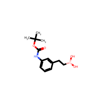 CC(C)(C)OC(=O)Nc1[c]c(CCB(O)O)ccc1